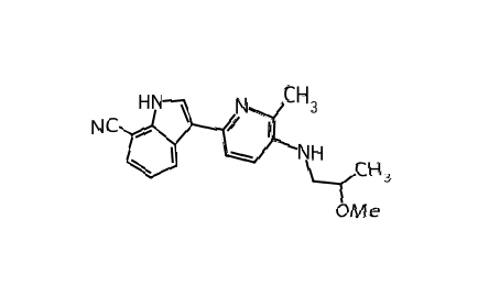 COC(C)CNc1ccc(-c2c[nH]c3c(C#N)cccc23)nc1C